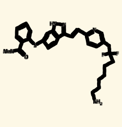 CNC(=O)c1ccccc1Sc1ccc2c(/C=C/c3ccc(CC(F)(F)CCCCCCN)cn3)n[nH]c2c1